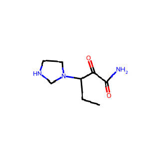 CCC(C(=O)C(N)=O)N1CCNC1